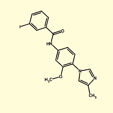 COc1cc(NC(=O)c2cccc(I)c2)ccc1-n1cnc(C)c1